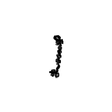 CO[Si](C)(CCCSSSSSSSSc1nc2ccccc2s1)OC